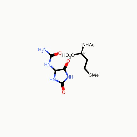 CSCC[C@H](NC(C)=O)C(=O)O.NC(=O)NC1NC(=O)NC1=O